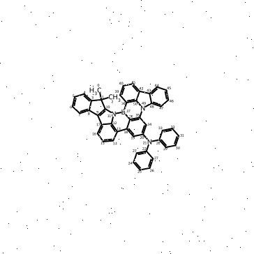 CC1(C)c2ccccc2-c2c1n1c3c(cccc23)-c2cc(N(c3ccccc3)c3ccccc3)cc3c2B1c1cccc2c4ccccc4n-3c12